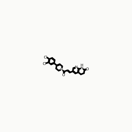 O=C1CCc2cc(C=CC(=O)N3CC=C(c4ccc(Cl)c(Cl)c4)CC3)cnc2N1